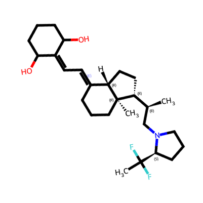 C[C@@H](CN1CCC[C@H]1C(C)(F)F)[C@H]1CC[C@H]2/C(=C/C=C3C(O)CCCC3O)CCC[C@]12C